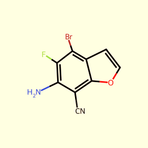 N#Cc1c(N)c(F)c(Br)c2ccoc12